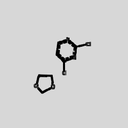 C1COCO1.Clc1ccnc(Cl)n1